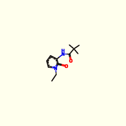 CCn1cccc(NC(=O)C(C)(C)C)c1=O